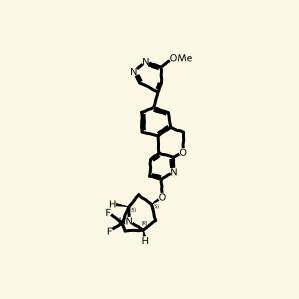 COc1cc(-c2ccc3c(c2)COc2nc(O[C@H]4C[C@@H]5CC(F)(F)[C@H](C4)N5)ccc2-3)cnn1